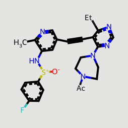 CCc1ncnc(N2CCN(C(C)=O)CC2)c1C#Cc1cnc(C)c(N[S+]([O-])c2ccc(F)cc2)c1